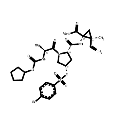 C=C[C@]1(C)C[C@]1(NC(=O)[C@@H]1C[C@H](OS(=O)(=O)c2ccc(Br)cc2)CN1C(=O)[C@@H](NC(=O)OC1CCCC1)C(C)(C)C)C(=O)OC